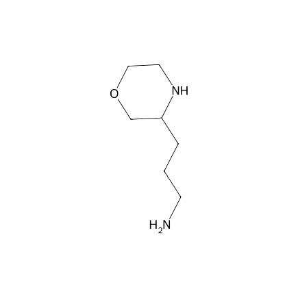 NCCCC1COCCN1